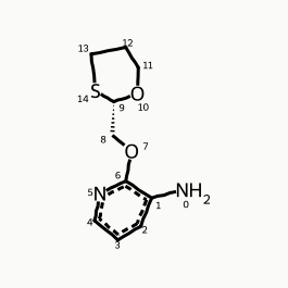 Nc1cccnc1OC[C@H]1OCCCS1